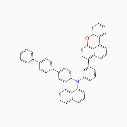 c1ccc(-c2ccc(-c3ccc(N(c4cccc(-c5ccc6c7c(cccc57)-c5ccccc5O6)c4)c4cccc5ccccc45)cc3)cc2)cc1